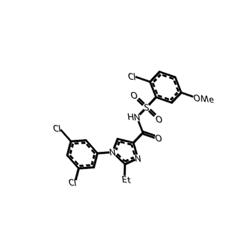 CCc1nc(C(=O)NS(=O)(=O)c2cc(OC)ccc2Cl)cn1-c1cc(Cl)cc(Cl)c1